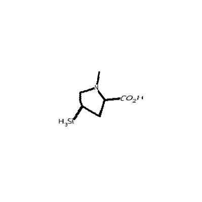 CN1CC([SiH3])CC1C(=O)O